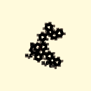 C[C@H]1CC[C@@H]2CCCC(c3ccccc3N(c3ccc(-c4cccc(-n5c6ccccc6c6c7ccccc7ccc65)c4)cc3)c3ccc4c(c3)C(C)(C)c3ccccc3-4)(C1)C2